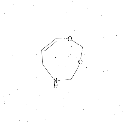 C1=C\OCCCNC/1